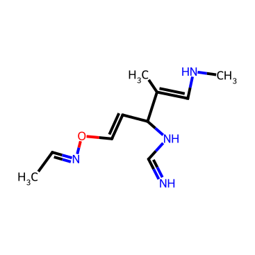 C/C=N/O/C=C/C(NC=N)/C(C)=C/NC